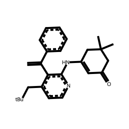 C=C(c1ccccc1)c1c(CC(C)(C)C)ccnc1NC1=CC(=O)CC(C)(C)C1